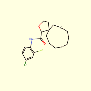 O=C(Nc1ccc(Cl)cc1F)C1OCCC12CCCCCCCCC2